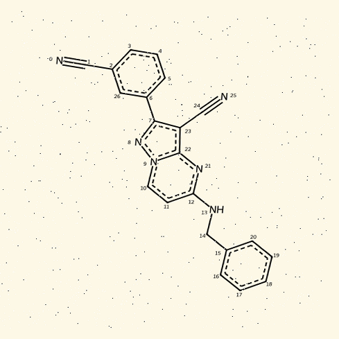 N#Cc1cccc(-c2nn3ccc(NCc4ccccc4)nc3c2C#N)c1